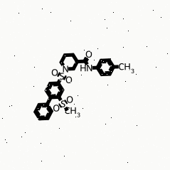 Cc1ccc(NC(=O)C2CCCN(S(=O)(=O)c3ccc(-c4ccccc4)c(S(C)(=O)=O)c3)C2)cc1